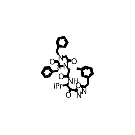 Cc1cccc(Cc2nnc(C(=O)C(NC(=O)CN3C(=O)CN(Cc4ccccc4)C(=O)[C@H]3Cc3ccccc3)C(C)C)o2)c1